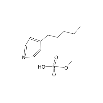 CCCCCc1ccncc1.COS(=O)(=O)O